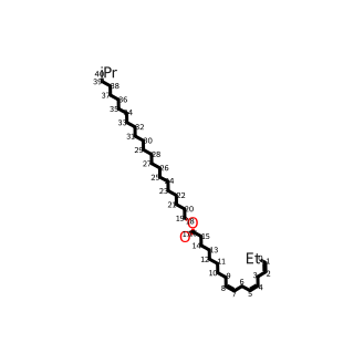 CC/C=C\C/C=C\C/C=C\CCCCCCCC(=O)OCCCCCCCCCCCCCCCCCCCCCC(C)C